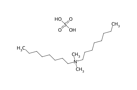 CCCCCCCC[N+](C)(C)CCCCCCCC.O=S(=O)(O)O